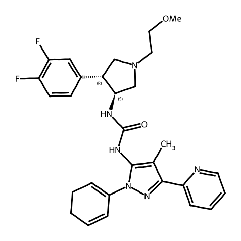 COCCN1C[C@@H](NC(=O)Nc2c(C)c(-c3ccccn3)nn2C2=CCCC=C2)[C@H](c2ccc(F)c(F)c2)C1